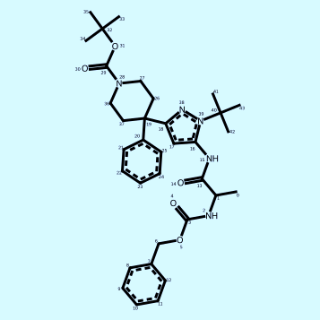 CC(NC(=O)OCc1ccccc1)C(=O)Nc1cc(C2(c3ccccc3)CCN(C(=O)OC(C)(C)C)CC2)nn1C(C)(C)C